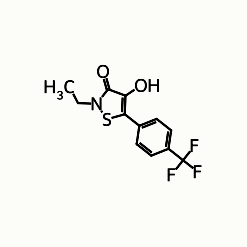 CCn1sc(-c2ccc(C(F)(F)F)cc2)c(O)c1=O